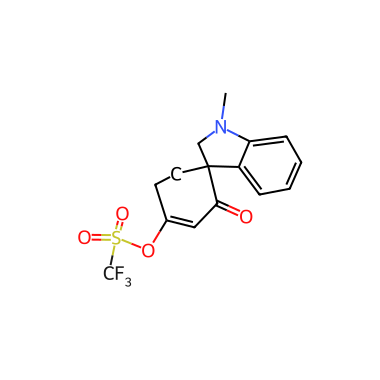 CN1CC2(CCC(OS(=O)(=O)C(F)(F)F)=CC2=O)c2ccccc21